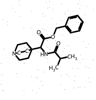 CC(C)C(=O)NC(C(=O)OCc1ccccc1)C12CCN(CC1)CC2